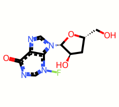 O=c1ncn(F)c2c1ncn2[C@@H]1O[C@H](CO)C[C@H]1O